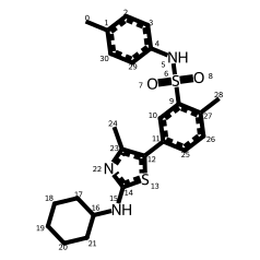 Cc1ccc(NS(=O)(=O)c2cc(-c3sc(NC4CCCCC4)nc3C)ccc2C)cc1